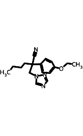 CCCCC(C#N)(Cn1cncn1)c1ccc(OCC)cc1